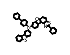 c1ccc(-c2ccc(N(c3ccc4c(c3)oc3ccc5sc(-c6ccccc6)nc5c34)c3ccc4sc5ccccc5c4c3)cc2)cc1